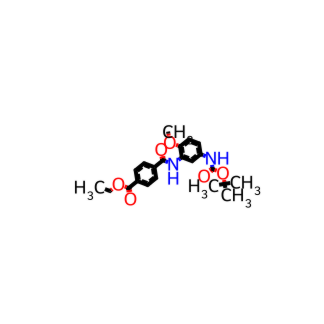 CCOC(=O)c1ccc(C(=O)Nc2cc(NC(=O)OC(C)(C)C)ccc2OC)cc1